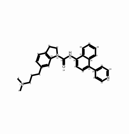 CN(C)CCCc1ccc2c(c1)N(C(=O)Nc1ccc(-c3ccncc3)c3ccccc13)CC2